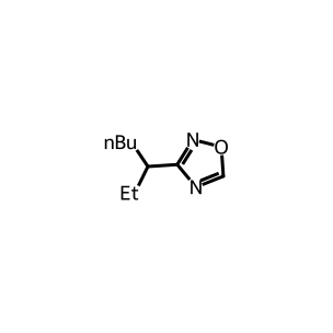 CCCCC(CC)c1ncon1